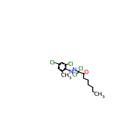 CCCCCCC(=O)C(Cl)(Cl)/N=N/c1c(C)cc(Cl)cc1Cl